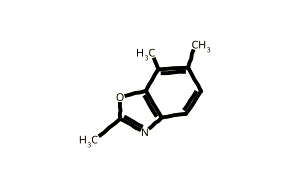 Cc1nc2ccc(C)c(C)c2o1